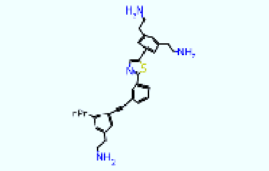 CCCc1cc(C#Cc2cccc(-c3ncc(-c4cc(CCN)cc(CCN)c4)s3)c2)cc(CCN)c1